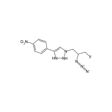 [N-]=[N+]=NC(CF)CN1C=C(c2ccc([N+](=O)[O-])cc2)NN1